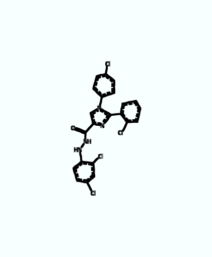 O=C(NNc1ccc(Cl)cc1Cl)c1cn(-c2ccc(Cl)cc2)c(-c2ccccc2Cl)n1